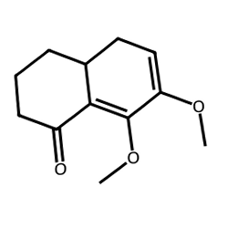 COC1=CCC2CCCC(=O)C2=C1OC